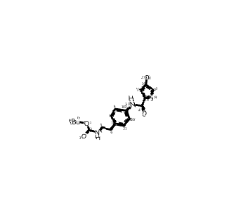 CC(C)(C)OC(=O)NCCc1ccc(NC(=O)c2cc(Br)cs2)cc1